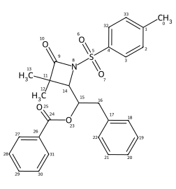 Cc1ccc(S(=O)(=O)N2C(=O)C(C)(C)C2C(Cc2ccccc2)OC(=O)c2ccccc2)cc1